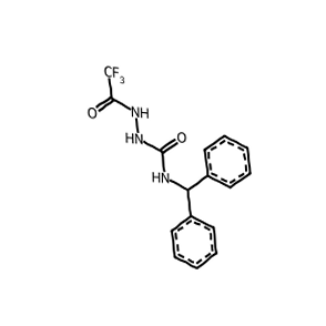 O=C(NNC(=O)C(F)(F)F)NC(c1ccccc1)c1ccccc1